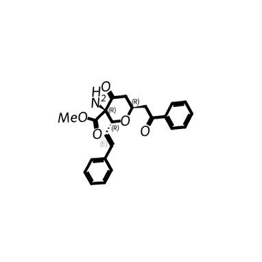 COC(=O)[C@]1(N)C(=O)C[C@@H](CC(=O)c2ccccc2)O[C@@H]1/C=C/c1ccccc1